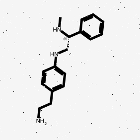 CN[C@@H](CNc1ccc(CCN)cc1)c1ccccc1